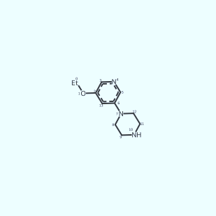 CCOc1cncc(N2CCNCC2)c1